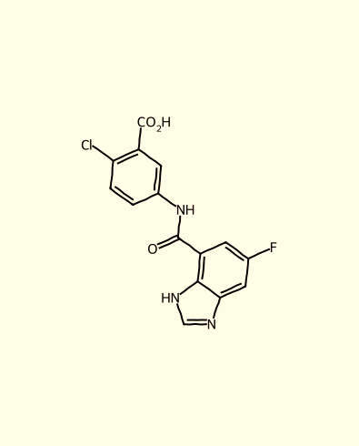 O=C(O)c1cc(NC(=O)c2cc(F)cc3nc[nH]c23)ccc1Cl